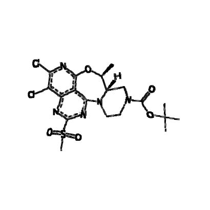 C[C@@H]1Oc2nc(Cl)c(Cl)c3nc(S(C)(=O)=O)nc(c23)N2CCN(C(=O)OC(C)(C)C)C[C@@H]12